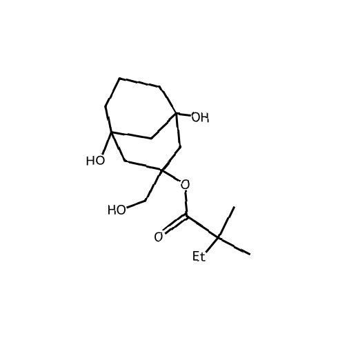 CCC(C)(C)C(=O)OC1(CO)CC2(O)CCCC(O)(C2)C1